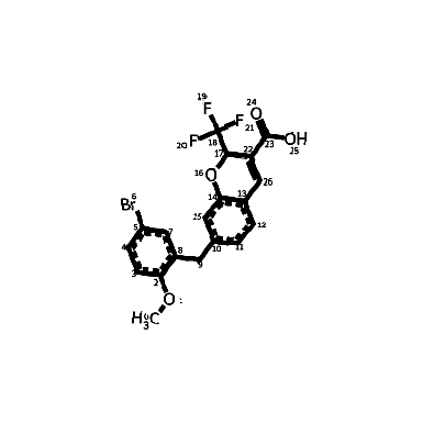 COc1ccc(Br)cc1Cc1ccc2c(c1)OC(C(F)(F)F)C(C(=O)O)=C2